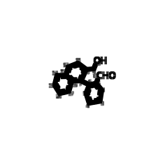 O=Cc1ccccc1-c1c(CO)ccc2ccccc12